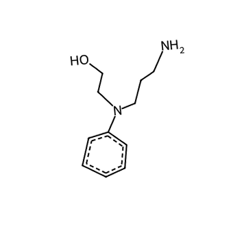 NCCCN(CCO)c1ccccc1